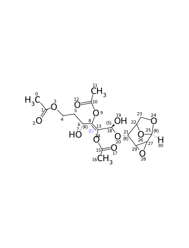 CC(=O)OCC[C@@H](O)/C(OC(C)=O)=C(\OC(C)=O)[C@@H](O)O[C@@H]1C2CO[C@H](O2)C2OC21